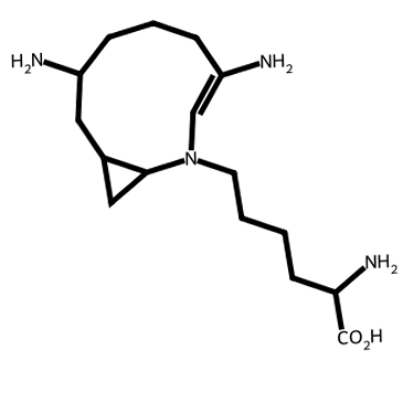 N/C1=C\N(CCCCC(N)C(=O)O)C2CC2CC(N)CCC1